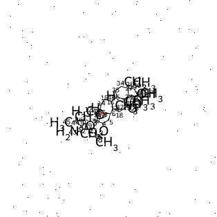 CC(=O)O[C@@H]1C[C@@]23CCOC[C@@](C)([C@@H]2CC[C@H]2C3=CC(=O)[C@@]3(C)[C@H](C(=O)O)[C@@](C)([C@H](C)C(C)C)CC[C@]23C)[C@H]1OCC(C)(N)C(C)C